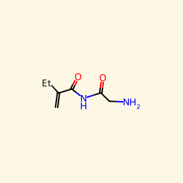 C=C(CC)C(=O)NC(=O)CN